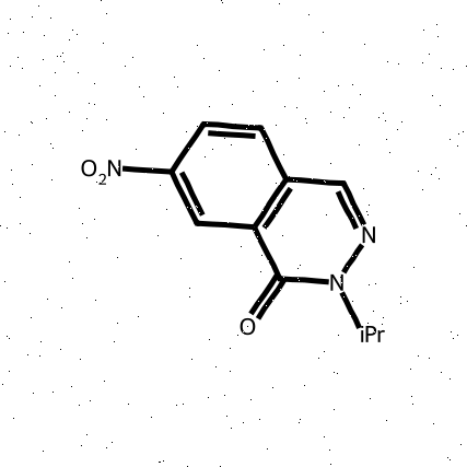 CC(C)n1ncc2ccc([N+](=O)[O-])cc2c1=O